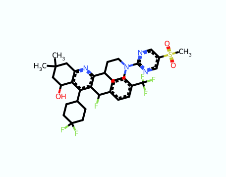 CC1(C)Cc2nc(C3CCN(c4ncc(S(C)(=O)=O)cn4)CC3)c(C(F)c3ccc(C(F)(F)F)cc3)c(C3CCC(F)(F)CC3)c2C(O)C1